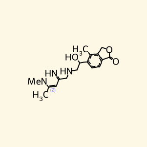 CN/C(C)=C\C(=N)CNCC(O)c1ccc2c(c1C)COC2=O